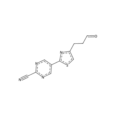 N#Cc1ncc(-c2nc(CCC=O)cs2)cn1